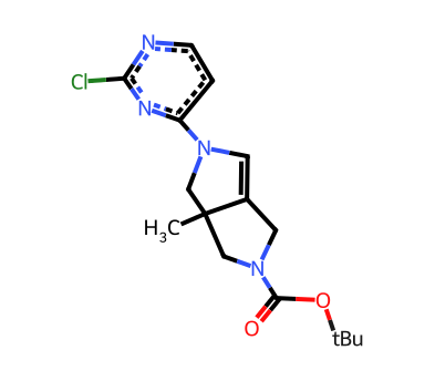 CC(C)(C)OC(=O)N1CC2=CN(c3ccnc(Cl)n3)CC2(C)C1